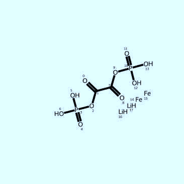 O=C(OP(=O)(O)O)C(=O)OP(=O)(O)O.[Fe].[Fe].[LiH].[LiH]